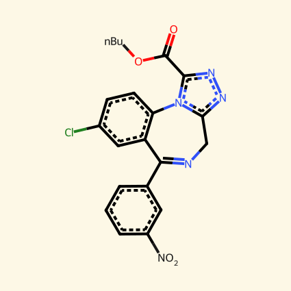 CCCCOC(=O)c1nnc2n1-c1ccc(Cl)cc1C(c1cccc([N+](=O)[O-])c1)=NC2